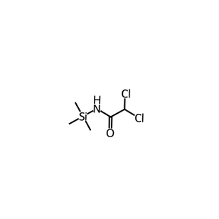 C[Si](C)(C)NC(=O)C(Cl)Cl